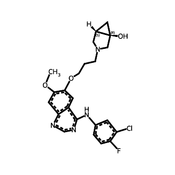 COc1cc2ncnc(Nc3ccc(F)c(Cl)c3)c2cc1OCCCN1C[C@@H]2C[C@]2(O)C1